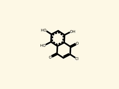 O=C1C(Cl)=CC(=O)c2c(O)c(O)cc(O)c21